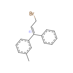 Cc1cccc(/C(=C/CBr)c2ccccc2)c1